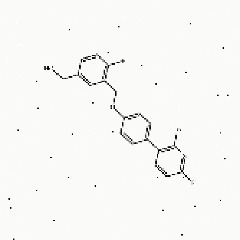 OCc1ccc(F)c(COc2ccc(-c3ccc(F)cc3F)cc2)c1